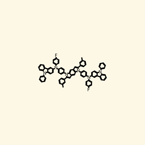 Cc1cccc(-c2cc3cc4c(cc(-c5cccc(C)c5)n4-c4ccc(N(c5ccc(F)cc5)c5ccc6c(c5)c5ccccc5n6-c5ccccc5)cc4)cc3n2-c2ccc(N(c3ccc(F)cc3)c3ccc4c(c3)c3ccccc3n4-c3ccccc3)cc2)c1